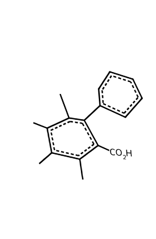 Cc1c(C)c(C)c(-c2ccccc2)c(C(=O)O)c1C